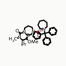 COC(=O)[C@H](C(C)C)N(C)C(=O)N1CCCN(C(=O)[C@@H]2CCCCCN2C(c2ccccc2)(c2ccccc2)c2ccccc2)CC1